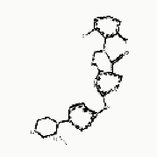 C[C@@H]1CNCCN1c1ccc(Nc2ncc3c(n2)SCN(c2c(F)cccc2Cl)C3=O)cc1